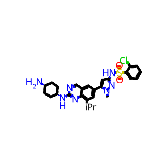 CC(C)c1cc(-c2cc(NS(=O)(=O)c3ccccc3Cl)nn2C)cc2cnc(N[C@H]3CC[C@H](N)CC3)nc12